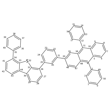 c1ccc(-c2c3ccccc3c(-c3ccccc3)c3cc(-c4cccc(-c5cccc6c5sc5c(-c7ccccc7)cccc56)c4)ccc23)cc1